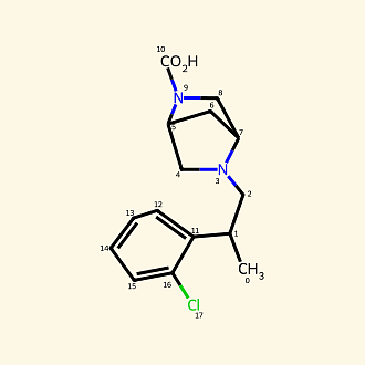 CC(CN1CC2CC1CN2C(=O)O)c1ccccc1Cl